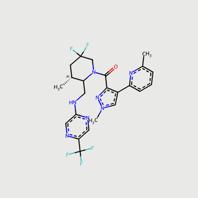 Cc1cccc(-c2cn(C)nc2C(=O)N2CC(F)(F)C[C@@H](C)C2CNc2cnc(C(F)(F)F)cn2)n1